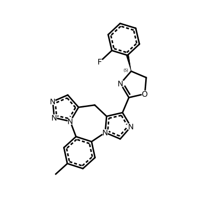 Cc1ccc2c(c1)-n1nncc1Cc1c(C3=N[C@@H](c4ccccc4F)CO3)ncn1-2